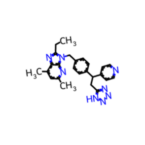 CCc1nc2c(C)cc(C)nc2n1Cc1ccc(C(Cc2nnn[nH]2)c2ccncc2)cc1